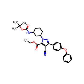 CCOC(=O)c1c(C#N)c(-c2ccc(Oc3ccccc3)cc2)nn1C1CCCC(NC(=O)OC(C)(C)C)C1